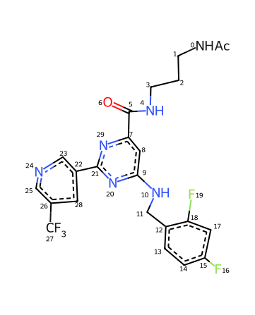 CC(=O)NCCCNC(=O)c1cc(NCc2ccc(F)cc2F)nc(-c2cncc(C(F)(F)F)c2)n1